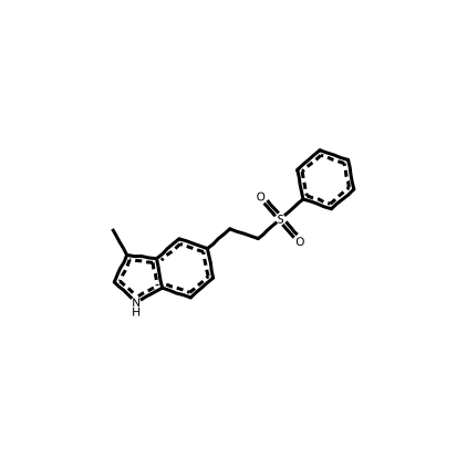 Cc1c[nH]c2ccc(CCS(=O)(=O)c3ccccc3)cc12